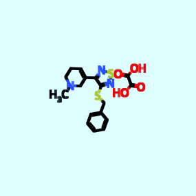 CN1CCC=C(c2nsnc2SCc2ccccc2)C1.O=C(O)C(=O)O